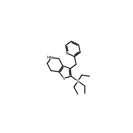 CC[Si](CC)(CC)c1sc2c(c1Cc1ccccn1)CNCC2